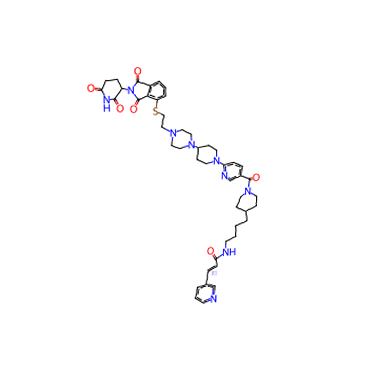 O=C(/C=C/c1cccnc1)NCCCCC1CCN(C(=O)c2ccc(N3CCC(N4CCN(CCSc5cccc6c5C(=O)N(C5CCC(=O)NC5=O)C6=O)CC4)CC3)nc2)CC1